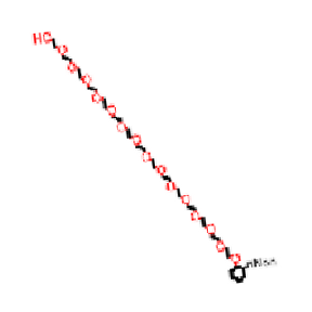 CCCCCCCCCc1ccccc1OCCOCCOCCOCCOCCOCCOCCOCCOCCOCCOCCOCCOCCOCCOCCO